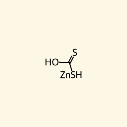 OC(=S)S.[Zn]